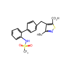 CCCCc1nsc(C(=O)O)c1Cc1ccc(-c2ccccc2NS(=O)(=O)C(F)(F)F)cc1